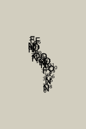 CN1CC(N2CCC(c3cccc(-c4nn(Cc5ccc(-c6nnc(C(F)F)o6)cn5)c(=O)o4)c3F)CC2)C1